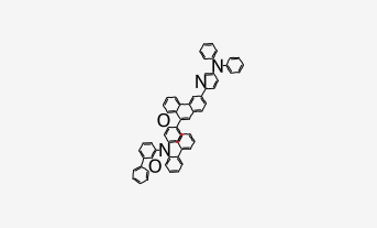 c1ccc(-c2ccccc2N(c2ccc3c(c2)Oc2cccc4c2c-3cc2ccc(-c3ccc(N(c5ccccc5)c5ccccc5)cn3)cc24)c2cccc3c2oc2ccccc23)cc1